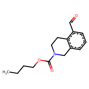 CCCCOC(=O)N1CCc2c(C=O)cccc2C1